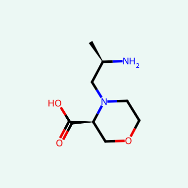 C[C@@H](N)CN1CCOC[C@H]1C(=O)O